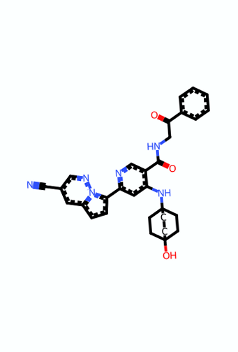 N#Cc1cnn2c(-c3cc(NC45CCC(O)(CC4)CC5)c(C(=O)NCC(=O)c4ccccc4)cn3)ccc2c1